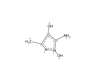 Cc1nn(O)c(N)c1O